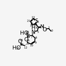 CCO/N=C(\CN[C@H]1CC=C[C@H](CC(=O)O)OB1O)c1cccs1